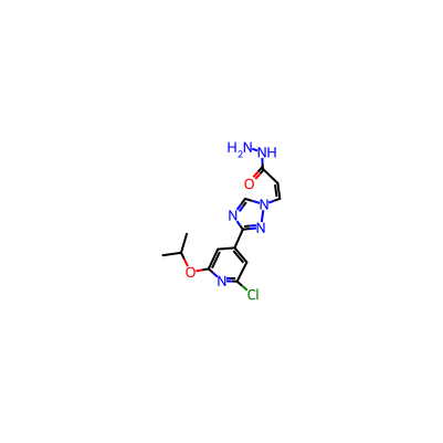 CC(C)Oc1cc(-c2ncn(/C=C\C(=O)NN)n2)cc(Cl)n1